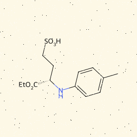 CCOC(=O)[C@H](CCS(=O)(=O)O)Nc1ccc(C)cc1